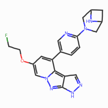 FCCOc1cc(-c2ccc(N3CC4CC(C3)N4)nc2)c2c3cn[nH]c3nn2c1